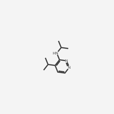 CC(C)Nc1nnccc1C(C)C